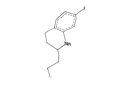 [CH2]CCC1CCc2ccc(F)cc2N1